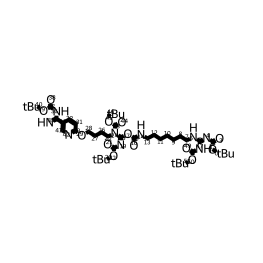 CC(C)(C)OC(=O)N=C(NCCCCCCCNC(=O)OC(=NC(=O)OC(C)(C)C)N(CCCCOc1ccc(C(=N)NC(=O)OC(C)(C)C)cn1)C(=O)OC(C)(C)C)NC(=O)OC(C)(C)C